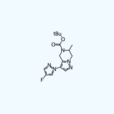 CC1Cn2ncc(-n3cc(F)cn3)c2CN1C(=O)OC(C)(C)C